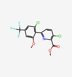 COC(=O)c1nc(-c2c(Cl)cc(C(F)(F)F)cc2OC)ccc1Cl